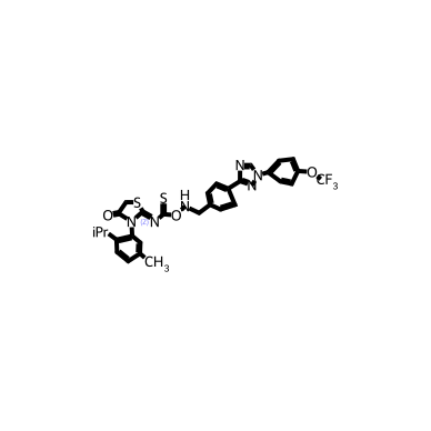 Cc1ccc(C(C)C)c(N2C(=O)CS/C2=N\C(=S)ONCc2ccc(-c3ncn(-c4ccc(OC(F)(F)F)cc4)n3)cc2)c1